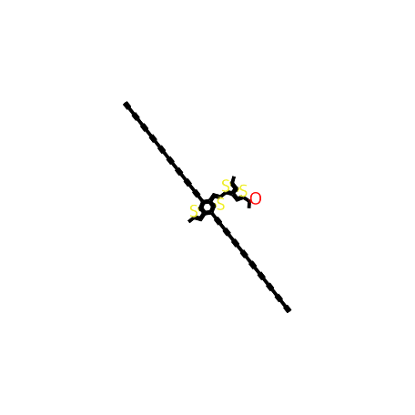 C#CC#CC#CC#CC#CC#CC#CC#CC#Cc1c2cc(-c3sc(C)c4sc(C(C)=O)cc34)sc2c(C#CC#CC#CC#CC#CC#CC#CC#CC#C)c2cc(C)sc12